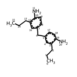 CCCc1cc(Cc2ccc(N)c(CCC)c2)ccc1N